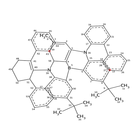 CC1=CC2=C3B(c4cc(C(C)(C)C)ccc4N2c2ccccc2-c2ccccc2)c2cc(C(C)(C)C)ccc2N(C2=C(c4ccccc4)CCCC2c2ccccc2)C3C1